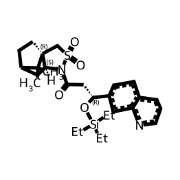 CC[Si](CC)(CC)O[C@H](CC(=O)N1[C@H]2CC3CC[C@@]2(CS1(=O)=O)C3(C)C)c1ccc2cccnc2c1